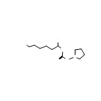 CCCCCCCCCCCCCCCC(CC)OC(=O)ON1CCCC1